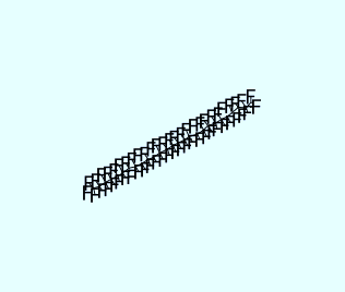 F[C](F)C(F)(F)C(F)(F)C(F)(F)C(F)(F)C(F)(F)C(F)(F)C(F)(F)C(F)(F)C(F)(F)C(F)(F)C(F)(F)C(F)(F)C(F)(F)C(F)(F)C(F)(F)C(F)(F)C(F)(F)C(F)(F)C(F)(F)C(F)(F)C(F)(F)C(F)(F)C(F)(F)C(F)(F)C(F)(F)C(F)(F)F